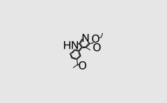 CCOC(=O)c1ncc2[nH]c3ccc(C(C)=O)cc3c2c1C